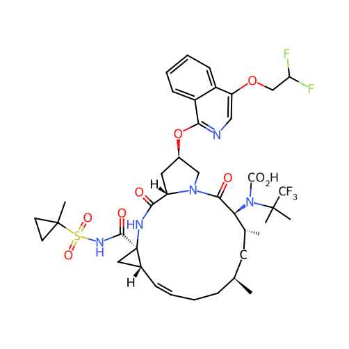 C[C@H]1CCC=C[C@@H]2C[C@@]2(C(=O)NS(=O)(=O)C2(C)CC2)NC(=O)[C@@H]2C[C@@H](Oc3ncc(OCC(F)F)c4ccccc34)CN2C(=O)[C@@H](N(C(=O)O)C(C)(C)C(F)(F)F)[C@H](C)C1